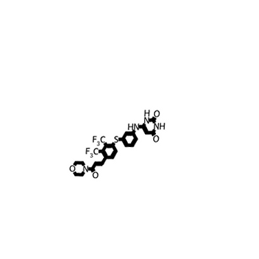 O=C(C=Cc1ccc(Sc2cccc(Nc3cc(=O)[nH]c(=O)[nH]3)c2)c(C(F)(F)F)c1C(F)(F)F)N1CCOCC1